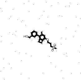 Cc1cc(OCCCS(C)(=O)=O)c2c(c1-c1cccc(CO)c1)CC2